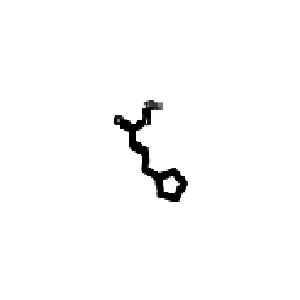 CC(C)(C)OC(=O)C=CCC1CCCC1